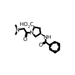 CN(C)CC(=O)N1C[C@H](NC(=O)c2ccccc2)C[C@H]1C(=O)O